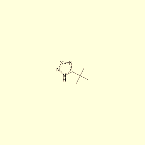 CC(C)(C)c1n[c]n[nH]1